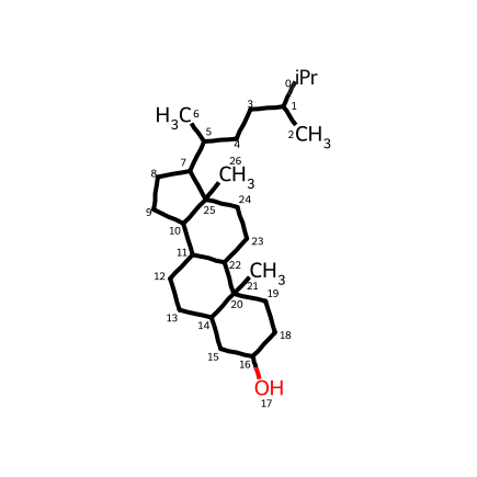 CC(C)C(C)CCC(C)C1CCC2C3CCC4CC(O)CCC4(C)C3CCC12C